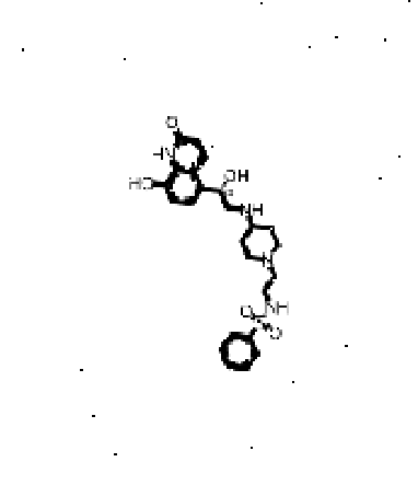 O=c1ccc2c([C@H](O)CNC3CCN(CCNS(=O)(=O)c4ccccc4)CC3)ccc(O)c2[nH]1